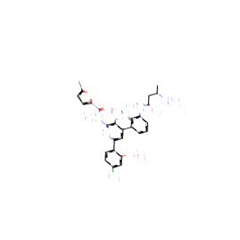 Cc1ccc(C(=O)Nc2nc(-c3ccc(Cl)cc3O)cc(-c3cccc(NC(=O)CC(C)N)c3)c2C#N)o1